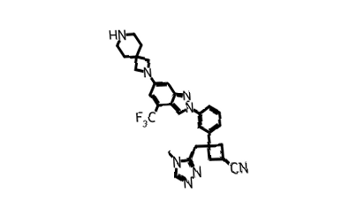 Cn1cnnc1CC1(c2cccc(-n3cc4c(C(F)(F)F)cc(N5CC6(CCNCC6)C5)cc4n3)c2)CC(C#N)C1